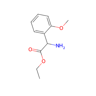 CCOC(=O)C(N)c1ccccc1OC